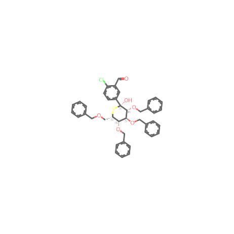 O=Cc1cc([C@]2(O)S[C@@H](COCc3ccccc3)[C@@H](OCc3ccccc3)[C@H](OCc3ccccc3)[C@H]2OCc2ccccc2)ccc1Cl